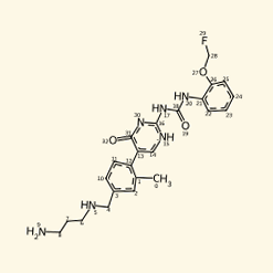 Cc1cc(CNCCCN)ccc1-c1c[nH]c(NC(=O)Nc2ccccc2OCF)nc1=O